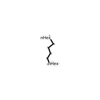 [CH2]CCCC[CH]CCCCCCCCC[CH2]